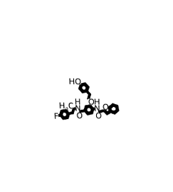 CC(Cc1ccc(F)cc1)NC(=O)c1ccc(NC(=O)c2cc3ccccc3o2)c(OCCc2ccc(O)cc2)c1